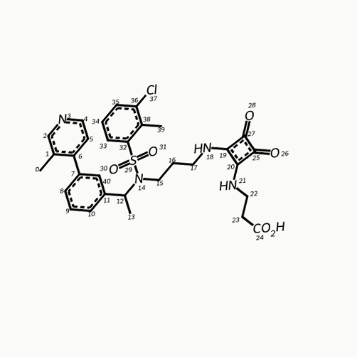 Cc1cnccc1-c1cccc(C(C)N(CCCNc2c(NCCC(=O)O)c(=O)c2=O)S(=O)(=O)c2cccc(Cl)c2C)c1